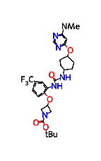 CNc1cc(OC2CCC(NC(=O)Nc3cc(C(F)(F)F)ccc3OC3CN(C(=O)OC(C)(C)C)C3)CC2)ncn1